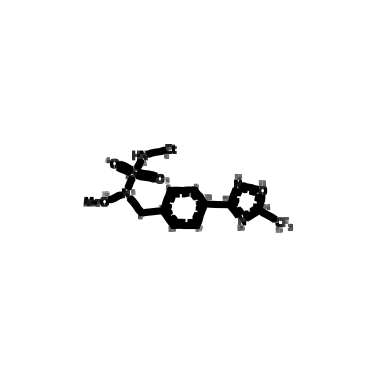 CCNS(=O)(=O)N(Cc1ccc(-c2noc(C(F)(F)F)n2)cc1)OC